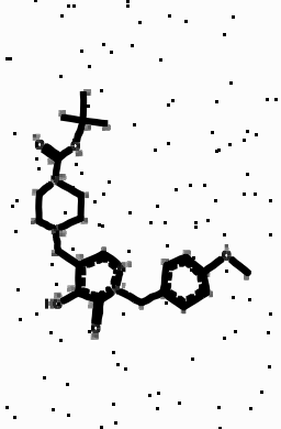 COc1ccc(Cn2ncc(CN3CCN(C(=O)OC(C)(C)C)CC3)c(O)c2=O)cc1